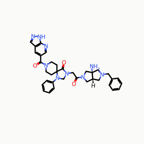 N[C@@]12CN(Cc3ccccc3)C[C@@H]1CN(C(=O)CN1CN(c3ccccc3)C3(CCN(C(=O)c4cnc5[nH]ncc5c4)CC3)C1=O)C2